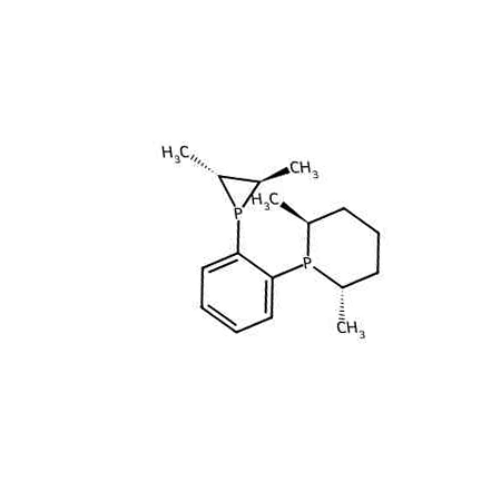 C[C@@H]1[C@@H](C)P1c1ccccc1P1[C@@H](C)CCC[C@@H]1C